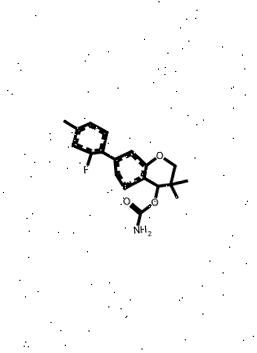 Cc1ccc(-c2ccc3c(c2)OCC(C)(C)C3OC(N)=O)c(F)c1